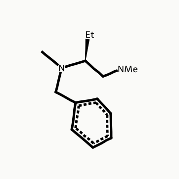 CC[C@@H](CNC)N(C)Cc1ccccc1